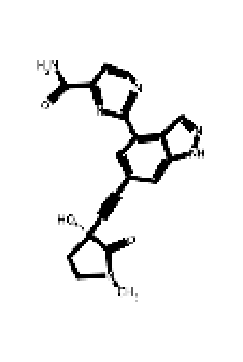 CN1CC[C@@](O)(C#Cc2cc(-c3nccc(C(N)=O)n3)c3cn[nH]c3c2)C1=O